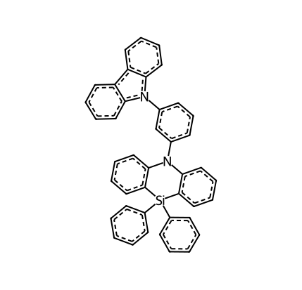 c1ccc([Si]2(c3ccccc3)c3ccccc3N(c3cccc(-n4c5ccccc5c5ccccc54)c3)c3ccccc32)cc1